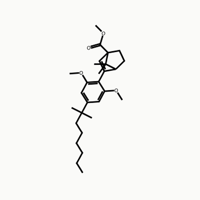 CCCCCCC(C)(C)c1cc(OC)c(C2=CC3(C(=O)OC)CCC2C3(C)C)c(OC)c1